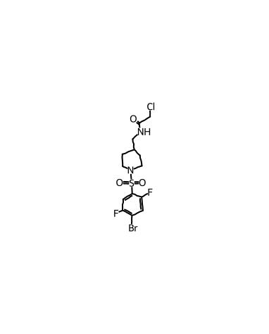 O=C(CCl)NCC1CCN(S(=O)(=O)c2cc(F)c(Br)cc2F)CC1